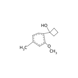 COc1cc(C)ccc1C1(O)CCC1